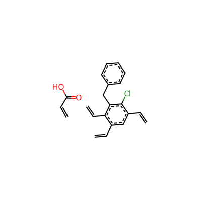 C=CC(=O)O.C=Cc1cc(C=C)c(C=C)c(Cc2ccccc2)c1Cl